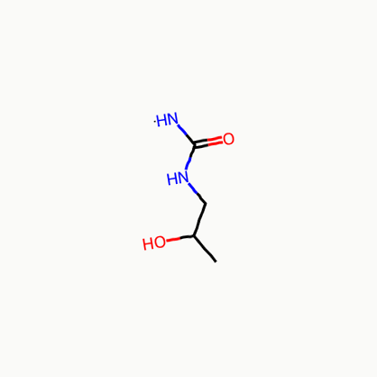 CC(O)CNC([NH])=O